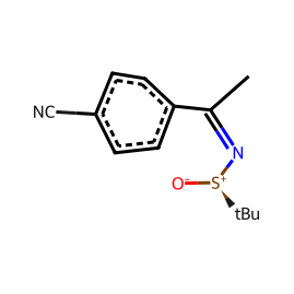 C/C(=N/[S@+]([O-])C(C)(C)C)c1ccc(C#N)cc1